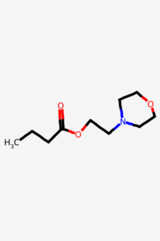 CCCC(=O)OCCN1CCOCC1